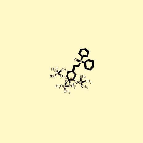 CC1(O[Si](C)(C)C)[C@H](O[Si](C)(C)C(C)(C)C)CC(=CCP(=O)(c2ccccc2)c2ccccc2)C[C@H]1O[Si](C)(C)C(C)(C)C